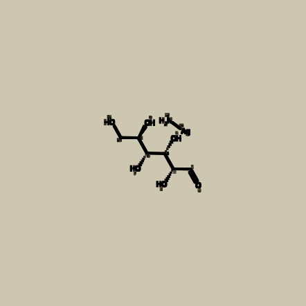 O=C[C@H](O)[C@@H](O)[C@H](O)[C@H](O)CO.[NH2][Ag]